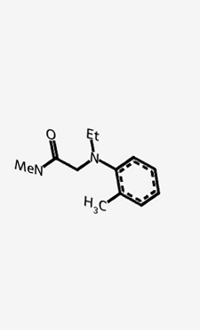 CCN(CC(=O)NC)c1ccccc1C